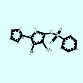 CC(=O)Oc1c(NS(=O)(=O)c2ccccc2)oc(-c2cccs2)c1O